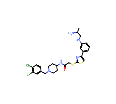 CC(N)CNc1cccc(-c2csc(SCC(=O)NC3CCN(Cc4ccc(Cl)c(Cl)c4)CC3)n2)c1